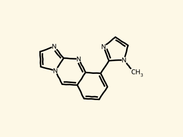 Cn1ccnc1-c1cccc2cn3ccnc3nc12